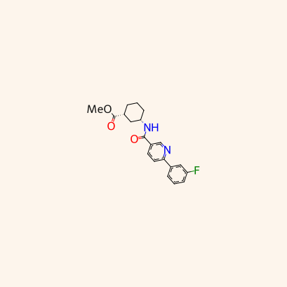 COC(=O)[C@@H]1CCC[C@H](NC(=O)c2ccc(-c3cccc(F)c3)nc2)C1